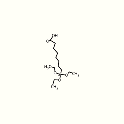 CCO[Si](CCCCCCCC(=O)O)(OCC)OCC